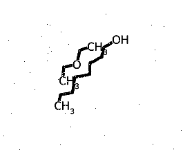 CCCCCCCCO.CCOCC